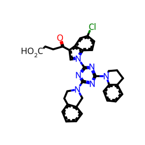 O=C(O)CCC(=O)c1cn(-c2nc(N3CCc4ccccc4C3)nc(N3CCCc4ccccc43)n2)c2ccc(Cl)cc12